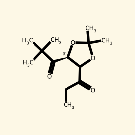 CCC(=O)C1OC(C)(C)O[C@@H]1C(=O)C(C)(C)C